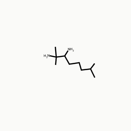 CC(C)CCCC(N)C(C)(C)N